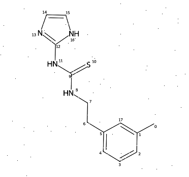 Cc1cccc(CCNC(=S)Nc2ncc[nH]2)c1